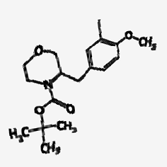 COc1ccc(CC2COCCN2C(=O)OC(C)(C)C)cc1I